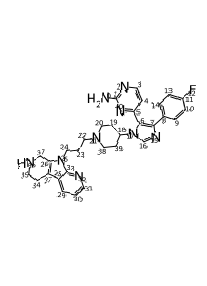 Nc1nccc(-c2c(-c3ccc(F)cc3)ncn2C2CCN(CCCn3c4c(c5cccnc53)CCNC4)CC2)n1